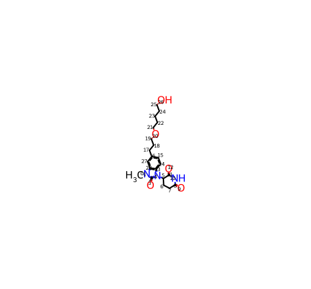 Cn1c(=O)n(C2CCC(=O)NC2=O)c2ccc(CCCOCCCCCO)cc21